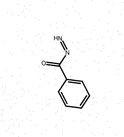 N=NC(=O)c1ccccc1